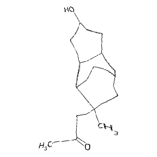 CC(=O)CC1(C)CC2CC1C1CC(O)CC21